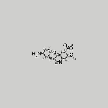 COC(=O)c1cc2c(Oc3ccc(N)cc3F)ccnc2cc1OC